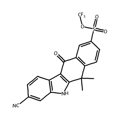 CC1(C)c2ccc(S(=O)(=O)OC(F)(F)F)cc2C(=O)c2c1[nH]c1cc(C#N)ccc21